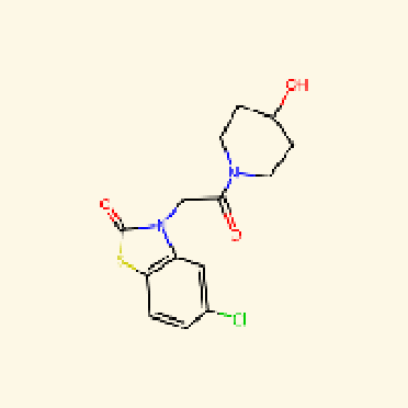 O=C(Cn1c(=O)sc2ccc(Cl)cc21)N1CCC(O)CC1